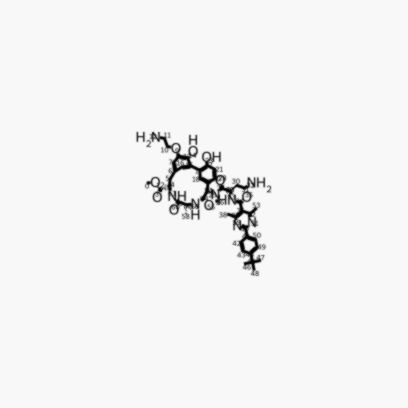 COC(=O)[C@@H]1Cc2cc(OCCN)c(O)c(c2)-c2cc(ccc2O)[C@H](N(C)C(=O)[C@@H](CCN)NC(=O)c2c(C)nc(-c3ccc(C(C)(C)C)cc3)nc2C)C(=O)N[C@H](C)C(=O)N1